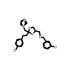 Clc1ccc(CCC2(Cn3ccnc3)OCC(COCc3cccc(Cl)c3)O2)cc1